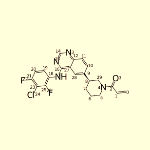 C=CC(=O)N1CCC[C@@H](c2ccc3ncnc(Nc4ccc(F)c(Cl)c4F)c3c2)C1